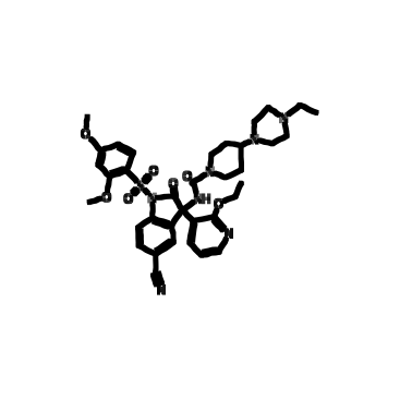 CCOc1ncccc1C1(NC(=O)N2CCC(N3CCN(CC)CC3)CC2)C(=O)N(S(=O)(=O)c2ccc(OC)cc2OC)c2ccc(C#N)cc21